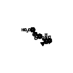 N=C(/C(COc1ccc(C2=NOC(c3cccc(C(=O)O)c3)C2)c(Cl)c1)=C(\O)C1CC1)c1c(Cl)cccc1Cl